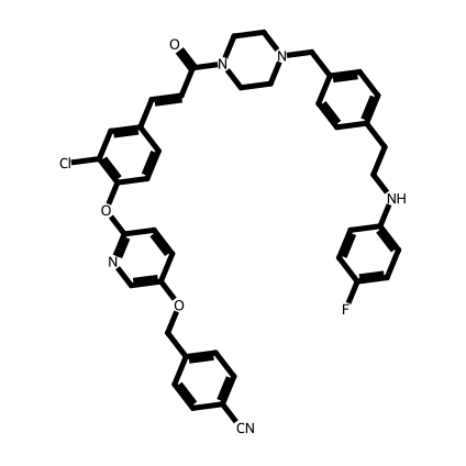 N#Cc1ccc(COc2ccc(Oc3ccc(C=CC(=O)N4CCN(Cc5ccc(CCNc6ccc(F)cc6)cc5)CC4)cc3Cl)nc2)cc1